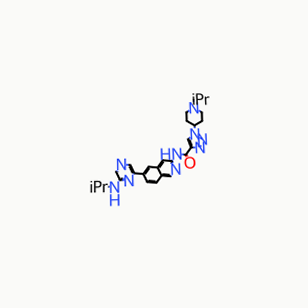 CC(C)Nc1cncc(-c2ccc3cnc(NC(=O)c4cn(C5CCN(C(C)C)CC5)nn4)cc3c2)n1